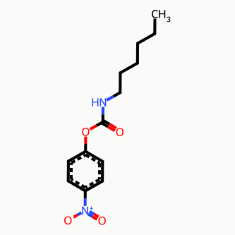 CCCCCCNC(=O)Oc1ccc([N+](=O)[O-])cc1